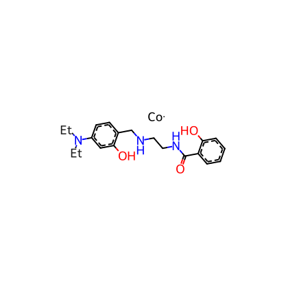 CCN(CC)c1ccc(CNCCNC(=O)c2ccccc2O)c(O)c1.[Co]